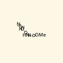 COc1ccc(/C=N/Nc2ccc(-c3cnc(-c4ccncc4)nc3)cc2)cc1